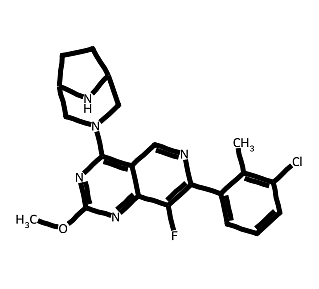 COc1nc(N2CC3CCC(C2)N3)c2cnc(-c3cccc(Cl)c3C)c(F)c2n1